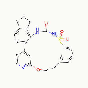 O=C1Nc2c(ccc3c2CCC3)-c2ccnc(c2)OCCc2cccc(c2)S(=O)(=O)N1